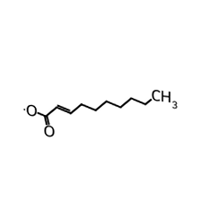 CCCCCCC/C=C/C([O])=O